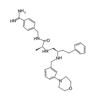 C[C@H](NC[C@@H](CCc1ccccc1)NCc1cccc(N2CCOCC2)c1)C(=O)NCc1ccc(C(=N)N)cc1